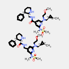 COCCN(C[C@H]1C[C@@H]1C)c1cc(C(=O)NC[C@H]2NCCC[C@H]2c2ccccc2)cc(N(C)S(C)(=O)=O)n1.COCCN(C[C@H]1C[C@@H]1C)c1cc(CNC(=O)[C@H]2NCCC[C@H]2c2ccccc2)cc(N(C)S(C)(=O)=O)n1